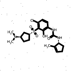 CC1=CCC[C@H]1NC(=O)Nc1ccc(Cl)c(S(=O)(=O)[C@@H]2CC[C@@H](N(C)C)C2)c1O